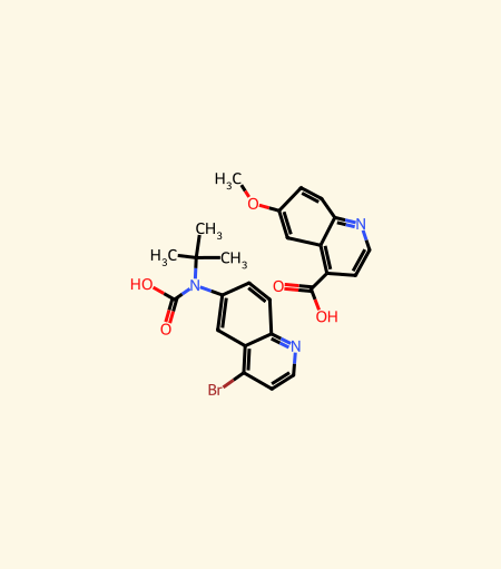 CC(C)(C)N(C(=O)O)c1ccc2nccc(Br)c2c1.COc1ccc2nccc(C(=O)O)c2c1